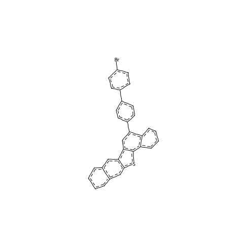 Brc1ccc(-c2ccc(-c3cc4c5cc6ccccc6cc5sc4c4ccccc34)cc2)cc1